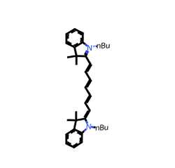 CCCCN1/C(=C/C=C/C=C/C=C/C2=[N+](CCCC)c3ccccc3C2(C)C)C(C)(C)c2ccccc21